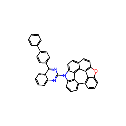 c1ccc(-c2ccc(-c3nc(-n4c5cccc6c5c5c7c(ccc8oc9cccc-6c9c87)ccc54)nc4ccccc34)cc2)cc1